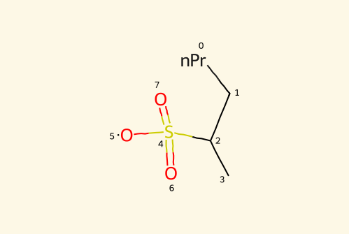 CCCCC(C)S([O])(=O)=O